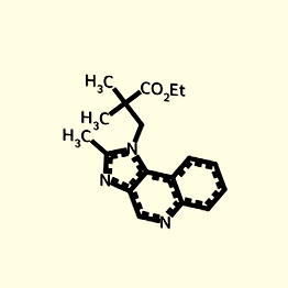 CCOC(=O)C(C)(C)Cn1c(C)nc2cnc3ccccc3c21